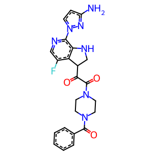 Nc1ccn(-c2ncc(F)c3c2NCC3C(=O)C(=O)N2CCN(C(=O)c3ccccc3)CC2)n1